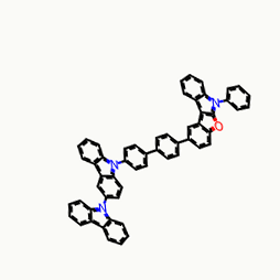 c1ccc(-n2c3ccccc3c3c4cc(-c5ccc(-c6ccc(-n7c8ccccc8c8cc(-n9c%10ccccc%10c%10ccccc%109)ccc87)cc6)cc5)ccc4oc32)cc1